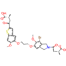 COc1cc2sc(C(=O)C[C@H](C)C(=O)O)cc2cc1OCCCOc1cc2c(c(Br)c1OC)CN(C(=O)C[C@H](C)C(=O)O)C2